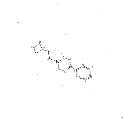 c1ccc(N2CCN(CCC3CCC3)CC2)cc1